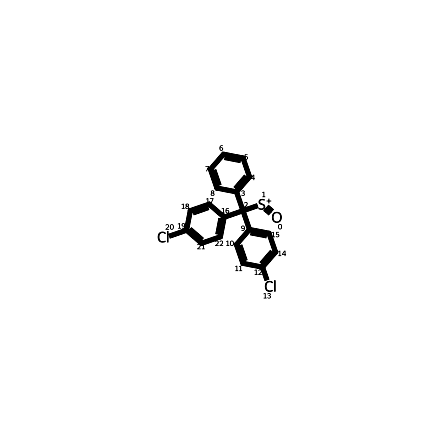 O=[S+]C(c1ccccc1)(c1ccc(Cl)cc1)c1ccc(Cl)cc1